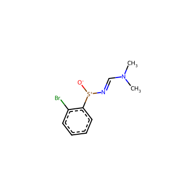 CN(C)/C=N/[S+]([O-])c1ccccc1Br